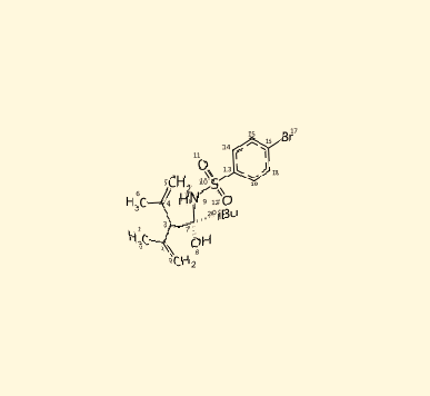 C=C(C)C(C(=C)C)[C@@](O)(NS(=O)(=O)c1ccc(Br)cc1)[C@@H](C)CC